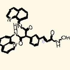 O=C(/C=C/c1cccc(C(C(=O)Nc2cccc3cccnc23)C(=O)Nc2cccc3cccnc23)c1)NO